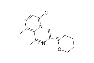 C=C(/N=C(/I)c1nc(Cl)ccc1C)[C@@H]1CCCCO1